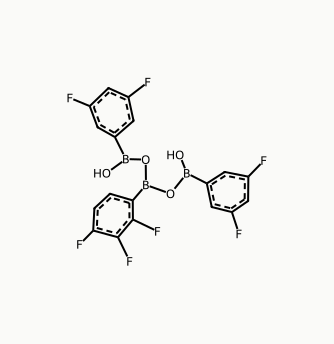 OB(OB(OB(O)c1cc(F)cc(F)c1)c1ccc(F)c(F)c1F)c1cc(F)cc(F)c1